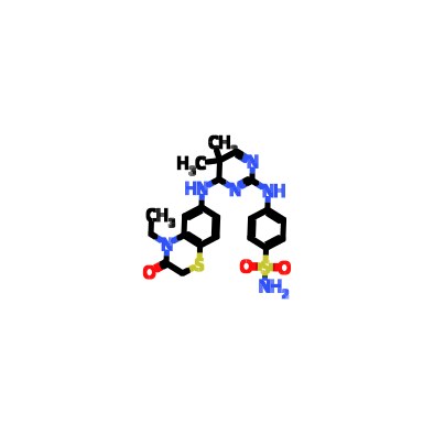 CCN1C(=O)CSc2ccc(NC3N=C(Nc4ccc(S(N)(=O)=O)cc4)N=CC3(C)C)cc21